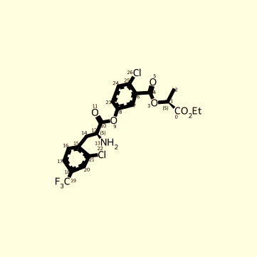 CCOC(=O)[C@H](C)OC(=O)c1cc(OC(=O)[C@@H](N)Cc2ccc(C(F)(F)F)cc2Cl)ccc1Cl